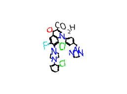 O=C(O)c1cn(-c2ccc(Cn3nccn3)cc2)c2c(Cl)c(N3CCN(c4ccccc4Cl)CC3)c(F)cc2c1=O